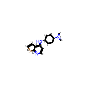 CN(C)[C@H]1CC[C@H](Nc2ccnc3sccc23)CC1